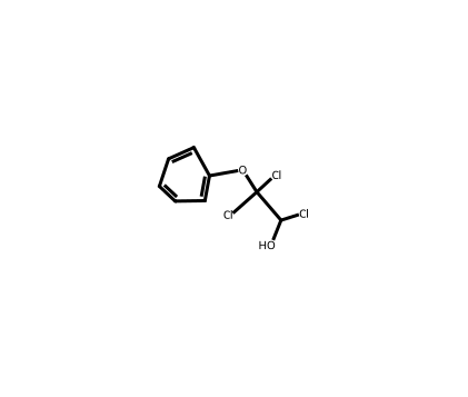 OC(Cl)C(Cl)(Cl)Oc1ccccc1